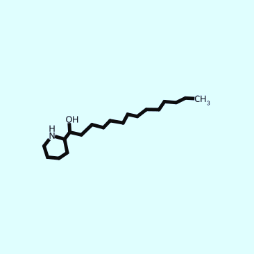 CCCCCCCCCCCCCC(O)C1CCCCN1